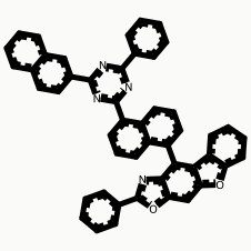 c1ccc(-c2nc(-c3ccc4ccccc4c3)nc(-c3cccc4c(-c5c6nc(-c7ccccc7)oc6cc6oc7ccccc7c56)cccc34)n2)cc1